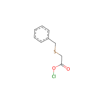 O=C(CSCc1ccccc1)OCl